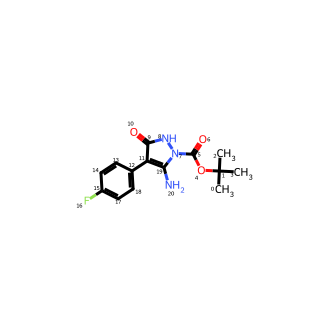 CC(C)(C)OC(=O)n1[nH]c(=O)c(-c2ccc(F)cc2)c1N